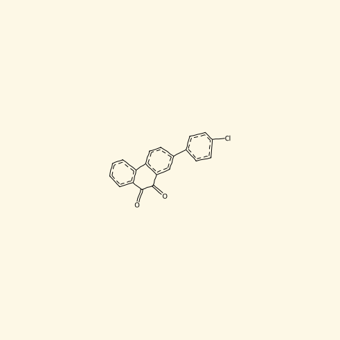 O=C1C(=O)c2cc(-c3ccc(Cl)cc3)ccc2-c2ccccc21